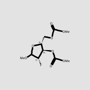 COC(=O)OC[C@H]1OC(OC)[C@@H](F)[C@@H]1OC(=O)OC